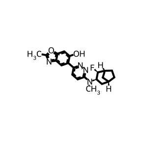 Cc1nc2cc(-c3ccc(N(C)[C@@H]4C[C@H]5CC[C@H](C5)[C@@H]4F)nn3)c(O)cc2o1